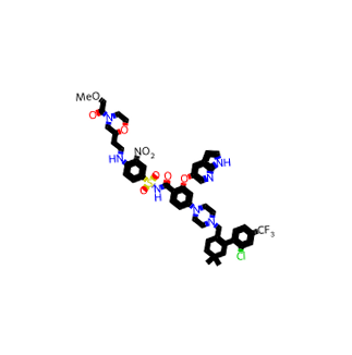 COCC(=O)N1CCOC(CCNc2ccc(S(=O)(=O)NC(=O)c3ccc(N4CCN(CC5=C(c6ccc(C(F)(F)F)cc6Cl)CC(C)(C)CC5)CC4)cc3Oc3cnc4[nH]ccc4c3)cc2[N+](=O)[O-])C1